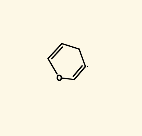 [C]1=COC=CC1